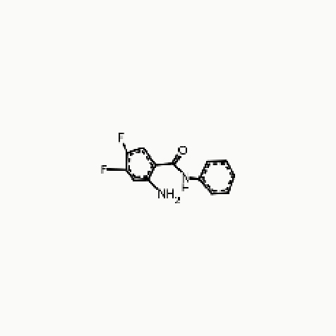 Nc1cc(F)c(F)cc1C(=O)Nc1ccccc1